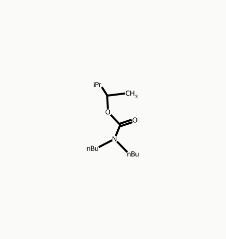 CCCCN(CCCC)C(=O)OC(C)C(C)C